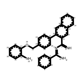 N=C(/N=C(\N)c1ccccc1)c1cc2ccccc2cc1-c1ccc(COc2ccccc2N)cc1